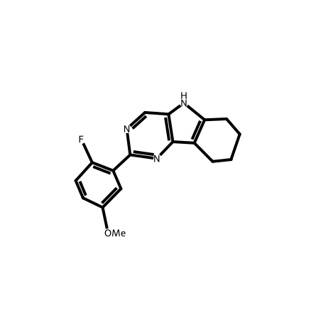 COc1ccc(F)c(-c2ncc3[nH]c4c(c3n2)CCCC4)c1